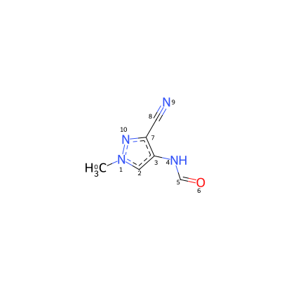 Cn1cc(NC=O)c(C#N)n1